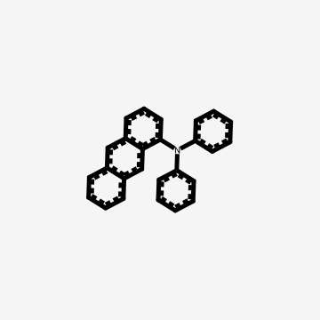 c1ccc(N(c2ccccc2)c2cccc3cc4ccccc4cc23)cc1